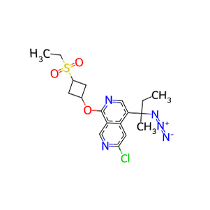 CCC(C)(N=[N+]=[N-])c1cnc(OC2CC(S(=O)(=O)CC)C2)c2cnc(Cl)cc12